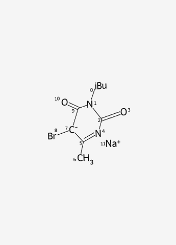 CCC(C)n1c(=O)nc(C)[c-](Br)c1=O.[Na+]